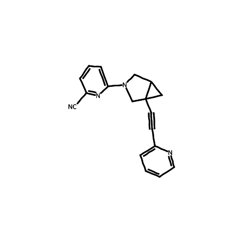 N#Cc1cccc(N2CC3CC3(C#Cc3ccccn3)C2)n1